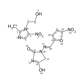 Cc1ncc([N+](=O)[O-])n1CCO.O=C1N=C(O)CN1/N=C/c1ccc([N+](=O)[O-])o1